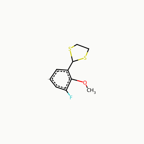 COc1c(F)c[c]cc1C1SCCS1